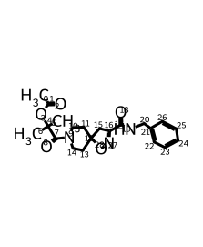 CC(=O)OC(C)(C)C(=O)N1CCC2(CC1)CC(C(=O)NCc1ccccc1)=NO2